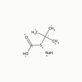 CC(C)(C)SC(=O)O.[NaH]